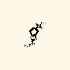 NNc1nc2cc(S(=O)(=O)O)ccc2s1